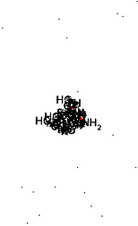 Nc1nc2c(nnn2[C@@H]2O[C@H](CO)C[C@H]2OP(O)(=S)OC[C@H]2O[C@@H](n3nnc4c(N)ncnc43)[C@@H](F)[C@@H]2O[PH](O)=S)c(=O)[nH]1